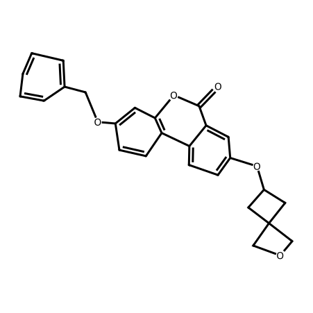 O=c1oc2cc(OCc3ccccc3)ccc2c2ccc(OC3CC4(COC4)C3)cc12